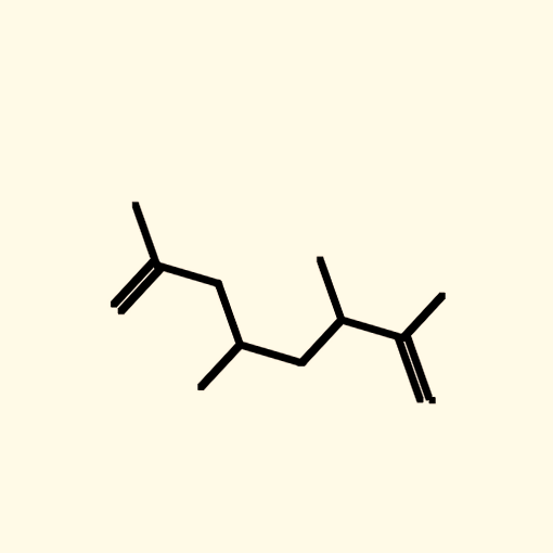 [CH]=C(C)C(C)CC(C)CC(=C)C